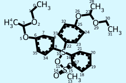 CCOC(C)Oc1ccc(S(OS(C)(=O)=O)(c2ccccc2)c2ccc(OC(C)OCC)cc2)cc1